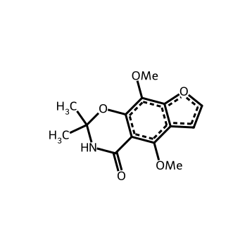 COc1c2c(c(OC)c3occc13)OC(C)(C)NC2=O